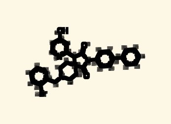 O=C1C(c2cc(O)ccn2)[N+]2(CCN(Cc3ncccc3Br)CC2)C(=O)N1c1ccc(-c2ccccc2)cc1